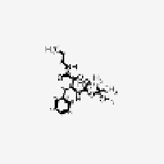 CCCNC(=O)C(O)[C@H](Cc1ccccc1)NC(=O)OC(C)(C)C